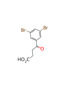 O=C(O)CCC(=O)c1cc(Br)cc(Br)c1